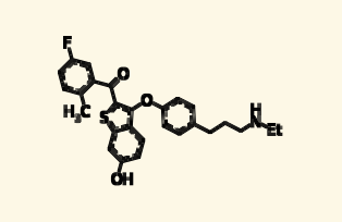 CCNCCCc1ccc(Oc2c(C(=O)c3cc(F)ccc3C)sc3cc(O)ccc23)cc1